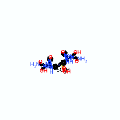 NC(=O)CCN(CCO)c1nc(Nc2ccc(/C=C/c3ccc(Nc4nc(N5CCOCC5)nc(N(CCO)CCC(N)=O)n4)cc3S(=O)(=O)O)c(SOOO)c2)nc(N2CCOCC2)n1